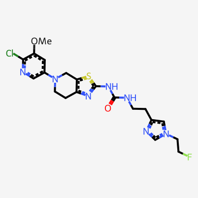 COc1cc(N2CCc3nc(NC(=O)NCCc4cn(CCF)cn4)sc3C2)cnc1Cl